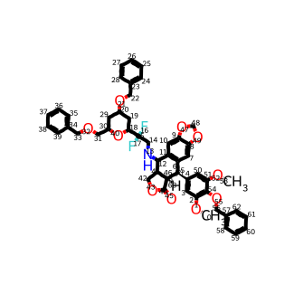 COc1cc([C@@H]2c3cc4c(cc3C(NCC(F)(F)C3CC(OCc5ccccc5)CC(COCc5ccccc5)O3)C3COC(=O)[C@@H]32)OCO4)cc(OC)c1OCc1ccccc1